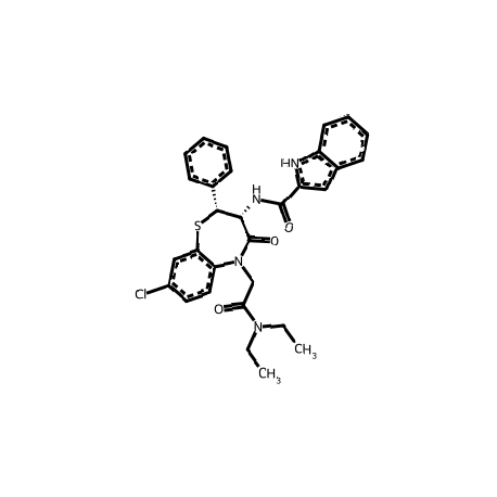 CCN(CC)C(=O)CN1C(=O)[C@@H](NC(=O)c2cc3ccccc3[nH]2)[C@@H](c2ccccc2)Sc2cc(Cl)ccc21